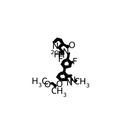 [2H]C1([2H])c2ncccc2C(=O)N1Cc1c(F)cc(-c2ccc(OC(C)COC)c3nn(C)cc23)cc1F